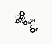 N=C(NCc1cccc(F)c1)N1CC[C@@H](OC(=O)[C@](O)(c2ccccc2)C2CCCC2)C1